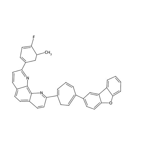 CC1CC(c2ccc3ccc4ccc(C5=CC=CC(c6ccc7oc8ccccc8c7c6)=CC5)nc4c3n2)=CC=C1F